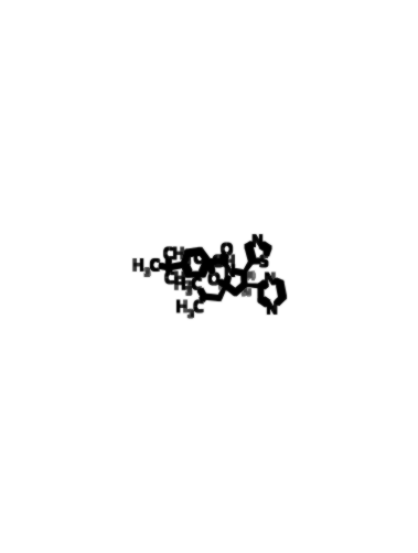 CC(C)C[C@]1(OC(=O)O)C[C@H](c2cnccn2)[C@H](c2cncs2)N1C(=O)c1ccc(C(C)(C)C)cc1